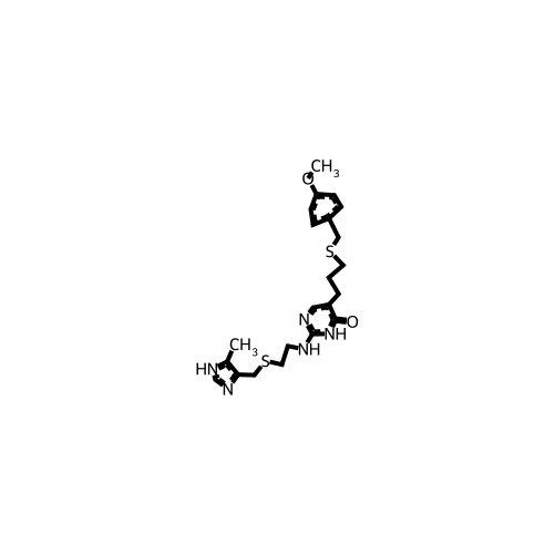 COc1ccc(CSCCCc2cnc(NCCSCc3nc[nH]c3C)[nH]c2=O)cc1